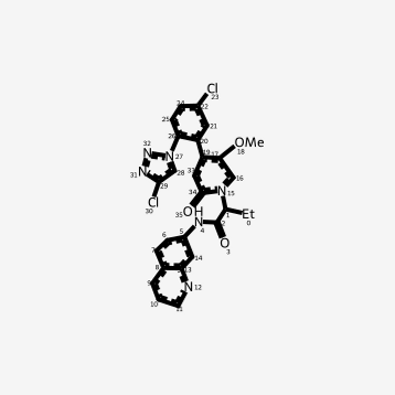 CCC(C(=O)Nc1ccc2cccnc2c1)n1cc(OC)c(-c2cc(Cl)ccc2-n2cc(Cl)nn2)cc1=O